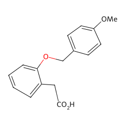 COc1ccc(COc2ccccc2CC(=O)O)cc1